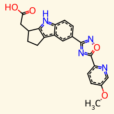 COc1ccc(-c2nc(-c3ccc4[nH]c5c(c4c3)CCC5CC(=O)O)no2)nc1